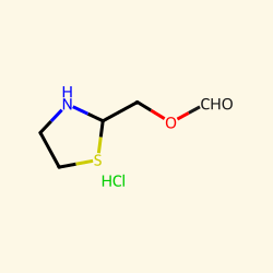 Cl.O=COCC1NCCS1